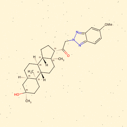 COc1ccc2nn(CC(=O)[C@H]3CC[C@H]4[C@@H]5CC[C@@H]6C[C@](C)(O)CC[C@]6(C)[C@H]5CC[C@]34C)nc2c1